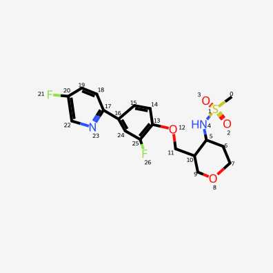 CS(=O)(=O)NC1CCOCC1COc1ccc(-c2ccc(F)cn2)cc1F